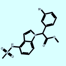 COC(=O)C(c1cccc(Br)c1)n1ccc2c(NS(C)(=O)=O)cccc21